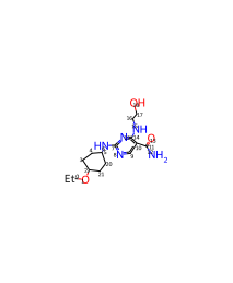 CCOC1CCC(Nc2ncc(C(N)=O)c(NCCO)n2)CC1